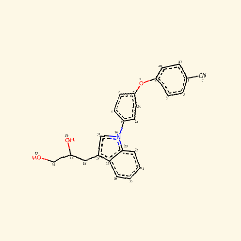 N#Cc1ccc(Oc2ccc(-n3cc(CC(O)CO)c4ccccc43)cc2)cc1